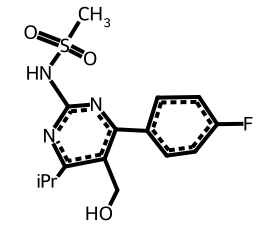 CC(C)c1nc(NS(C)(=O)=O)nc(-c2ccc(F)cc2)c1CO